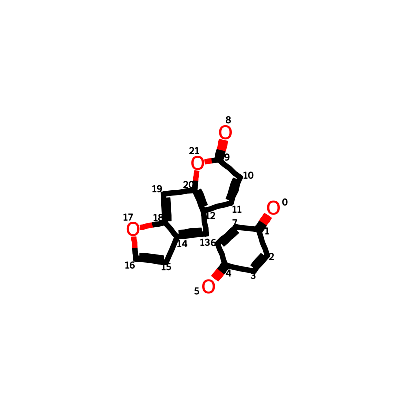 O=C1C=CC(=O)C=C1.O=c1ccc2cc3ccoc3cc2o1